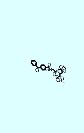 COC(=O)C1CC2(CN1C(=O)CNC(=O)c1ccc(C(=O)c3ccccc3)cc1)OCCO2